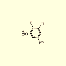 [B+2]c1ccc(F)c(Cl)c1.[OH-].[OH-]